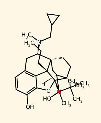 CCC[C@]12c3c4ccc(O)c3O[C@H]1[C@]1(C)CC[C@@]2(C[C@@H]1C(C)(O)C(C)(C)C)[C@H](N(C)CC1CC1)C4